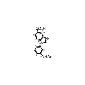 CC(=O)Nc1cccc(-n2cnc3cc(C(=O)O)ccc32)c1